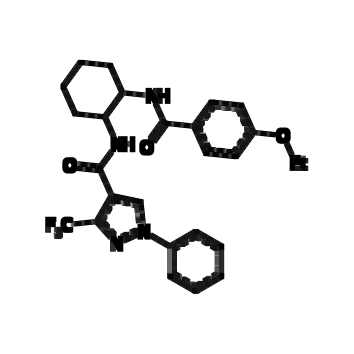 CCOc1ccc(C(=O)NC2CCCCC2NC(=O)c2cn(-c3ccccc3)nc2C(F)(F)F)cc1